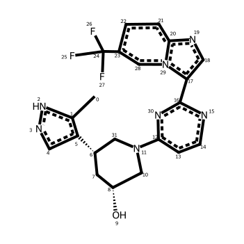 Cc1[nH]ncc1[C@H]1C[C@@H](O)CN(c2ccnc(-c3cnc4ccc(C(F)(F)F)cn34)n2)C1